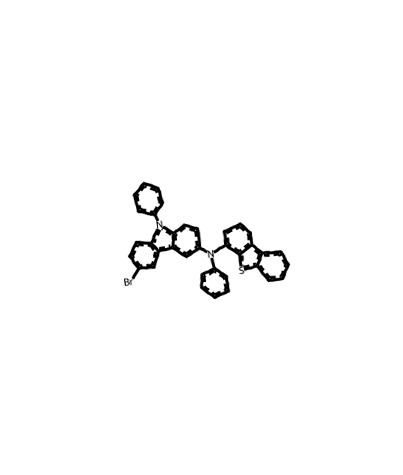 Brc1ccc2c(c1)c1cc(N(c3ccccc3)c3cccc4c3sc3ccccc34)ccc1n2-c1ccccc1